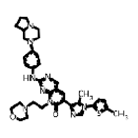 Cc1ccc(-n2cnc(-c3cc4cnc(Nc5ccc(N6CCN7CCCC7C6)cc5)nc4n(CCN4CCOCC4)c3=O)c2C)s1